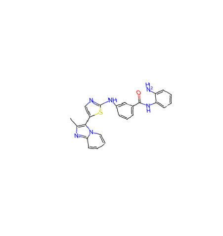 Cc1nc2ccccn2c1-c1cnc(Nc2cccc(C(=O)Nc3ccccc3N)c2)s1